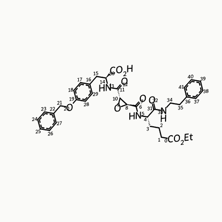 CCOC(=O)CCC[C@H](NC(=O)[C@H]1O[C@@H]1C(=O)N[C@@H](Cc1ccc(OCc2ccccc2)cc1)C(=O)O)C(=O)NCCc1ccccc1